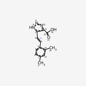 Cc1ccc(/C=C/c2[nH]nnc2C(=O)O)c(C)c1